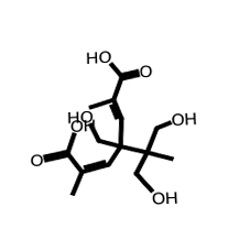 CC(=CC(C=C(C)C(=O)O)(CO)C(C)(CO)CO)C(=O)O